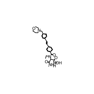 CCN(C(=O)c1ccc(C#Cc2ccc(CN3CCCOCC3)cc2)cc1)C(C(=O)NC)C(=O)NO